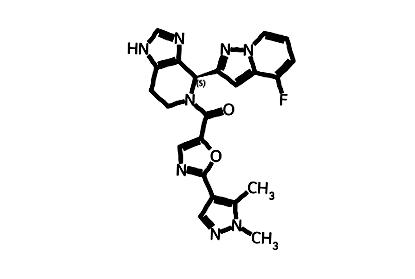 Cc1c(-c2ncc(C(=O)N3CCc4[nH]cnc4[C@H]3c3cc4c(F)cccn4n3)o2)cnn1C